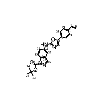 C=Cc1ccc(-c2cnc(Nc3ccc4c(cnn4C(=O)OC(C)(C)C)c3)o2)cc1